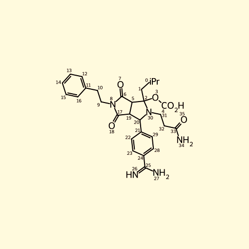 CC(C)CC1(OC(=O)O)C2C(=O)N(CCc3ccccc3)C(=O)C2C(c2ccc(C(=N)N)cc2)N1CCC(N)=O